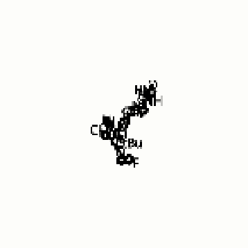 Cc1nn(C)c(C)c1-c1c(Cl)ccc2c(CCCOc3cccc4cc(F)ccc34)c(C(=O)OC(C)(C)C)n(CCN3CCN(C(=O)Cn4c(C)nc5c(C(=O)NC6CCC(=O)NC6=O)ccc(C)c54)CC3)c12